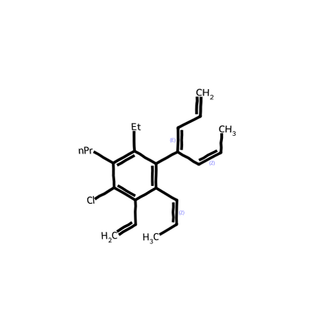 C=C/C=C(\C=C/C)c1c(/C=C\C)c(C=C)c(Cl)c(CCC)c1CC